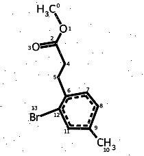 COC(=O)CCc1ccc(C)cc1Br